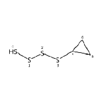 SSSSC1CC1